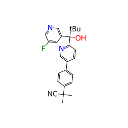 CC(C)(C#N)c1ccc(-c2ccc(C(O)(c3cncc(F)c3)C(C)(C)C)nc2)cc1